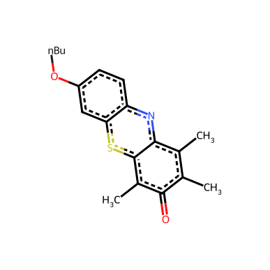 CCCCOc1ccc2nc3c(C)c(C)c(=O)c(C)c-3sc2c1